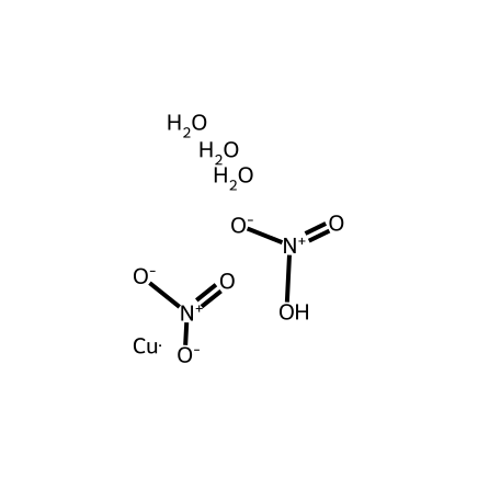 O.O.O.O=[N+]([O-])O.O=[N+]([O-])[O-].[Cu]